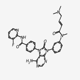 CN(C)C/C=C/C(=O)N(C)c1cccc(-n2c(=O)n(-c3ccc(C(=O)Nc4ncccc4F)cc3)c3c(N)ncnc32)c1